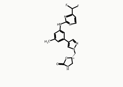 Cc1cc(Nc2nccc(C(F)F)n2)cc(-c2cnn(C[C@@H]3CNC(=O)O3)c2)c1